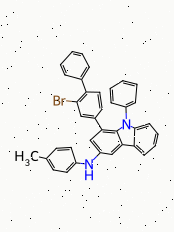 Cc1ccc(Nc2cc(-c3ccc(-c4ccccc4)c(Br)c3)c3c(c2)c2ccccc2n3-c2ccccc2)cc1